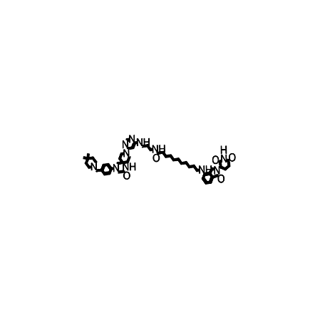 CC1(C)CCN(Cc2ccc(N3CC(=O)NC4(CCN(c5cc(NCCCNC(=O)CCCCCCCCCCNc6cccc7c6CN(C6CCC(=O)NC6=O)C7=O)ncn5)CC4)C3)cc2)CC1